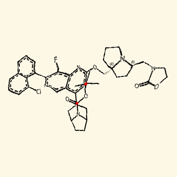 CC(C)(C)OC(=O)N1C2CCC1CN(c1nc(OC[C@]34CCCN3[C@@H](CN3CCOC3=O)CC4)nc3c(F)c(-c4cccc5cccc(Cl)c45)ncc13)C2